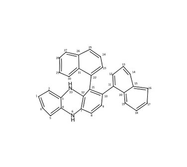 c1ccc2c(c1)Nc1ccc(-c3cccc4ccccc34)c(-c3cccc4ccccc34)c1N2